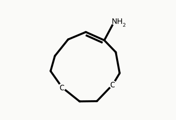 N/C1=C/CCCCCCCCC1